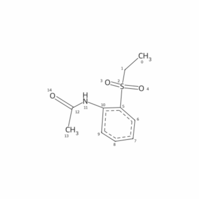 CCS(=O)(=O)c1ccccc1NC(C)=O